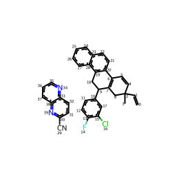 C=CC1(C)C=CC2=C(C1)C(c1ccc(F)c(Cl)c1)Cc1c2ccc2ccccc12.N#Cc1ccc2ncccc2n1